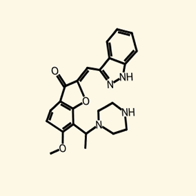 COc1ccc2c(c1C(C)N1CCNCC1)O/C(=C\c1n[nH]c3ccccc13)C2=O